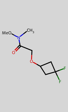 CON(C)C(=O)COC1CC(F)(F)C1